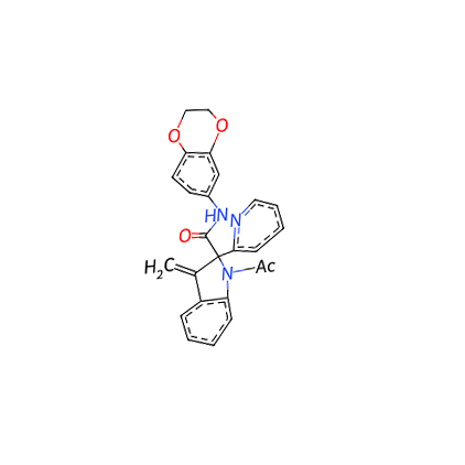 C=C1c2ccccc2N(C(C)=O)C1(C(=O)Nc1ccc2c(c1)OCCO2)c1ccccn1